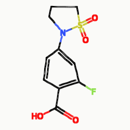 O=C(O)c1ccc(N2CCCS2(=O)=O)cc1F